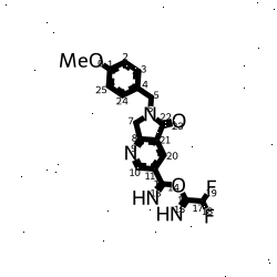 COc1ccc(CN2Cc3ncc(C(=N)OC(=N)C(F)F)cc3C2=O)cc1